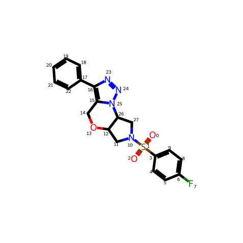 O=S(=O)(c1ccc(F)cc1)N1CC2OCc3c(-c4ccccc4)nnn3C2C1